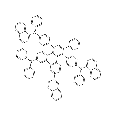 c1ccc(-c2cc(-c3ccc(N(c4ccccc4)c4cccc5ccccc45)cc3)c3c4ccc(N(c5ccccc5)c5ccccc5)cc4c4cc(-c5ccc6ccccc6c5)ccc4c3c2-c2ccc(N(c3ccccc3)c3cccc4ccccc34)cc2)cc1